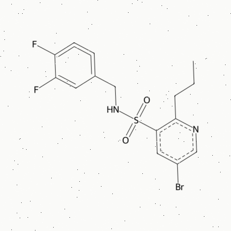 CCCc1ncc(Br)cc1S(=O)(=O)NCC1=C=C=C(F)C(F)=C1